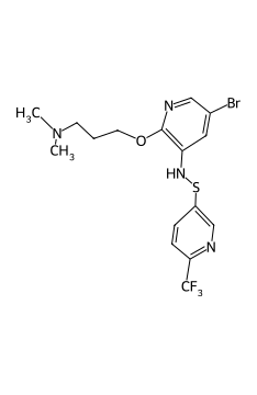 CN(C)CCCOc1ncc(Br)cc1NSc1ccc(C(F)(F)F)nc1